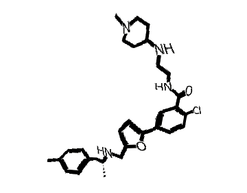 Cc1ccc([C@@H](C)NCc2ccc(-c3ccc(Cl)c(C(=O)NCCNC4CCN(C)CC4)c3)o2)cc1